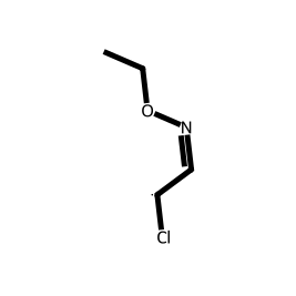 CCO/N=C\[CH]Cl